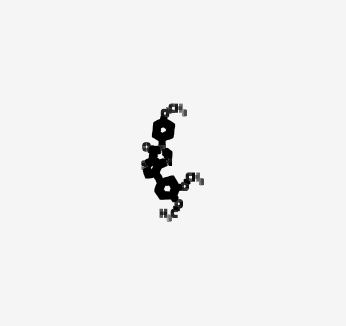 COc1ccc(-n2cnc3c(-c4ccc(OC)c(OC)c4)csc3c2=O)cc1